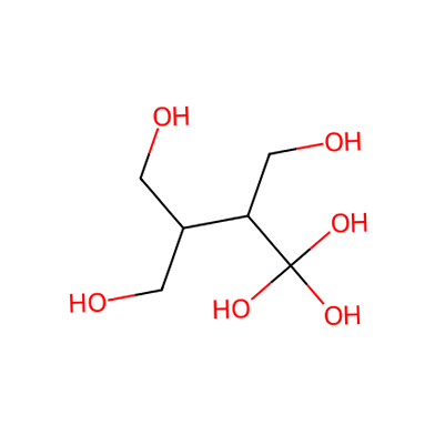 OCC(CO)C(CO)C(O)(O)O